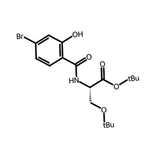 CC(C)(C)OC[C@H](NC(=O)c1ccc(Br)cc1O)C(=O)OC(C)(C)C